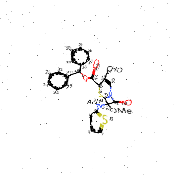 COC1(N(C(C)=O)c2cccs2)C(=O)N2C=C(C=O)C(C(=O)OC(c3ccccc3)c3ccccc3)S[C@@H]21